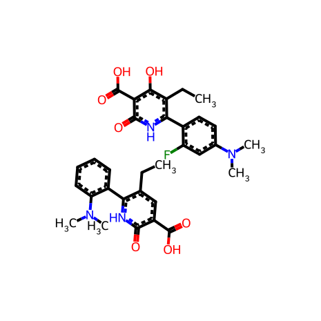 CCc1c(-c2ccc(N(C)C)cc2F)[nH]c(=O)c(C(=O)O)c1O.CCc1cc(C(=O)O)c(=O)[nH]c1-c1ccccc1N(C)C